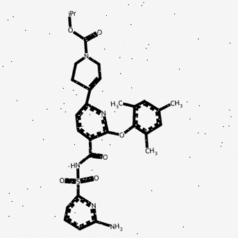 Cc1cc(C)c(Oc2nc(C3=CCN(C(=O)OC(C)C)CC3)ccc2C(=O)NS(=O)(=O)c2cccc(N)n2)c(C)c1